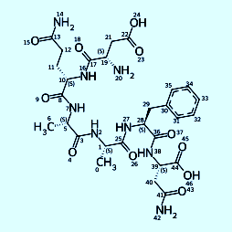 C[C@H](NC(=O)[C@H](C)NC(=O)[C@H](CCC(N)=O)NC(=O)[C@@H](N)CC(=O)O)C(=O)N[C@@H](Cc1ccccc1)C(=O)N[C@@H](CC(N)=O)C(=O)O